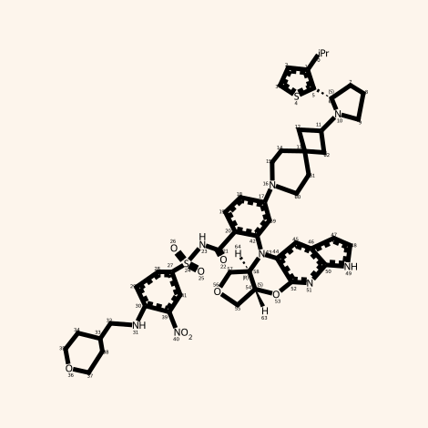 CC(C)c1ccsc1[C@@H]1CCCN1C1CC2(CCN(c3ccc(C(=O)NS(=O)(=O)c4ccc(NCC5CCOCC5)c([N+](=O)[O-])c4)c(N4c5cc6cc[nH]c6nc5O[C@@H]5COC[C@H]54)c3)CC2)C1